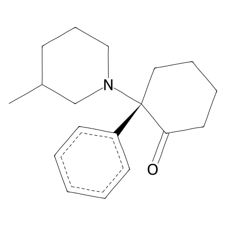 CC1CCCN([C@]2(c3ccccc3)CCCCC2=O)C1